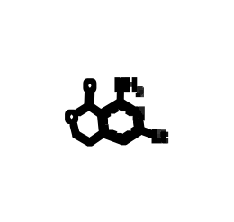 CCc1cc2c(c(N)n1)C(=O)OCC2